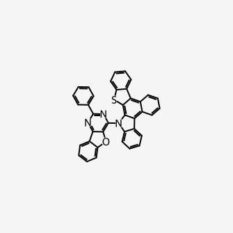 c1ccc(-c2nc(-n3c4ccccc4c4c5ccccc5c5c6ccccc6sc5c43)c3oc4ccccc4c3n2)cc1